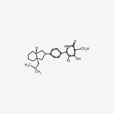 CCc1c(-c2ccc(N3C[C@H]4CCCC[C@@]4(CN(C)C)C3)cc2)[nH]c(=O)c(C(=O)O)c1O